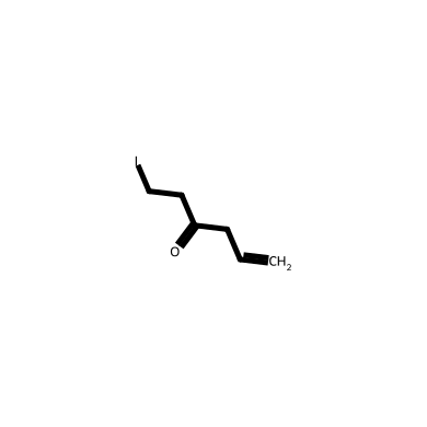 C=CCC(=O)CCI